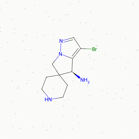 N[C@@H]1c2c(Br)cnn2CC12CCNCC2